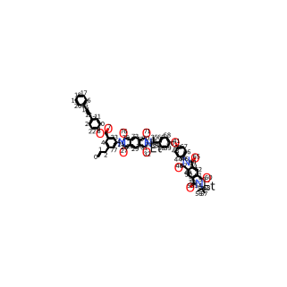 C=CCc1cc(C(=O)Oc2ccc(C#Cc3ccccc3)cc2)cc(-n2c(=O)c3cc4c(=O)n(C(C)(CC)c5ccc(Oc6ccc(-n7c(=O)c8cc9c(=O)n(C(C)(C)CC)c(=O)c9cc8c7=O)cc6)cc5)c(=O)c4cc3c2=O)c1